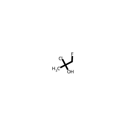 CC(O)(Cl)CF